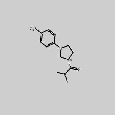 CN(C)C(=O)[C@H]1CCN(c2ccc([N+](=O)[O-])cc2)C1